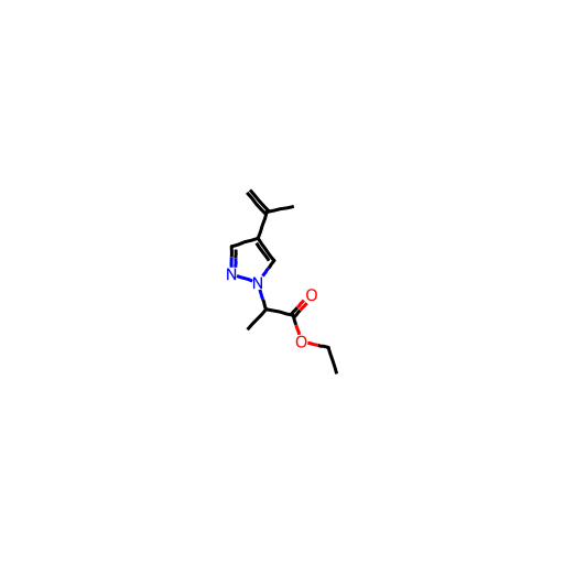 C=C(C)c1cnn(C(C)C(=O)OCC)c1